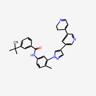 Cc1ccc(NC(=O)c2cccc(C(C)(C)C#N)c2)cc1-n1cc(-c2cncc(C3=CC=NCC3)c2)cn1